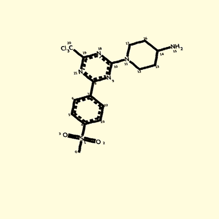 CS(=O)(=O)c1ccc(-c2nc(N3CCC(N)CC3)nc(C(Cl)(Cl)Cl)n2)cc1